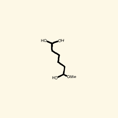 COC(O)CCCCC(O)O